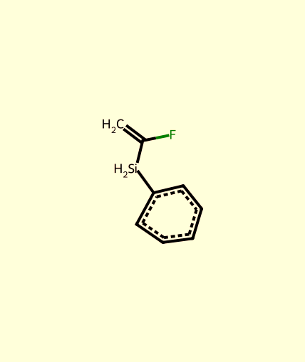 C=C(F)[SiH2]c1ccccc1